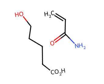 C=CC(N)=O.O=C(O)CCCCO